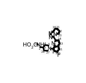 O=C(O)NCC1CCN(c2cc(F)cc3ccc(-c4nnc5ccccn45)nc23)CC1